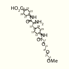 COCCOCCOCC(=O)Nc1ccc(C[C@H](N)C(=O)Nc2ccc(C(=O)O)cc2)cc1